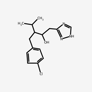 CC(C)C(Cc1ccc(Cl)cc1)C(O)Cc1nc[nH]n1